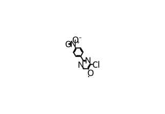 COc1cnc(-c2ccc([N+](=O)[O-])cc2)nc1Cl